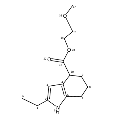 CCc1cc2c([nH]1)CCCC2C(=O)OCCOC